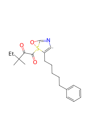 CCC(C)(C)C(=O)C(=O)S12OC1=N[C]=C2CCCCCc1ccccc1